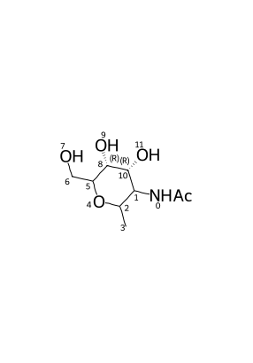 CC(=O)NC1C(C)OC(CO)[C@H](O)[C@@H]1O